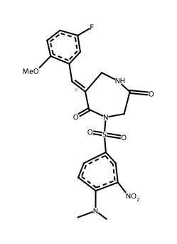 COc1ccc(F)cc1/C=C1\CNC(=O)CN(S(=O)(=O)c2ccc(N(C)C)c([N+](=O)[O-])c2)C1=O